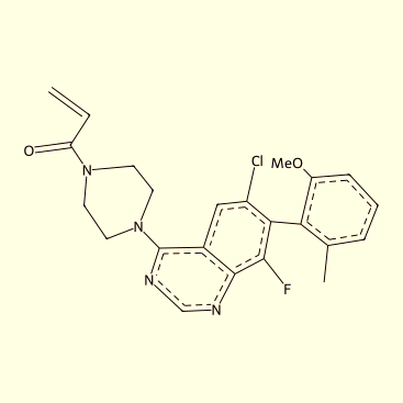 C=CC(=O)N1CCN(c2ncnc3c(F)c(-c4c(C)cccc4OC)c(Cl)cc23)CC1